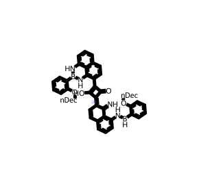 CCCCCCCCCCOc1ccccc1BNc1cccc2c1C(=N)/C(=C1\C(=O)C(c3ccc4cccc5c4c3NB(c3ccccc3OCCCCCCCCCC)N5)=C1O)C=C2